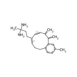 C=C1/C=C\C(CCC(C)(N)N)=C/CCc2ccc(C)cc2C1=C